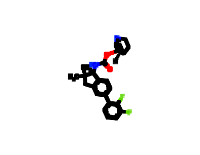 CC1(C)Cc2cc(-c3cccc(F)c3F)ccc2C1NC(=O)O[C@H]1CN2CCC1CC2